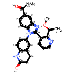 C=C(OCC)c1ncccc1-c1nc2cc(C(=O)NC)ccc2n1-c1ccc2c(c1)CCC(=O)N2